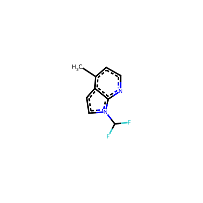 Cc1ccnc2c1ccn2C(F)F